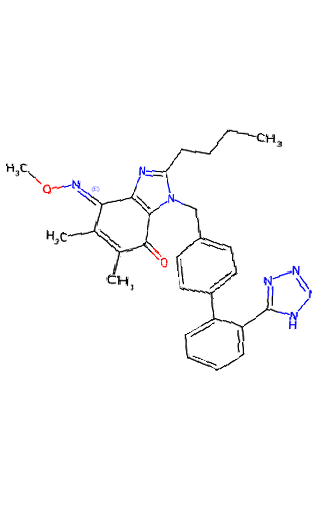 CCCCc1nc2c(n1Cc1ccc(-c3ccccc3-c3nnn[nH]3)cc1)C(=O)C(C)=C(C)/C2=N\OC